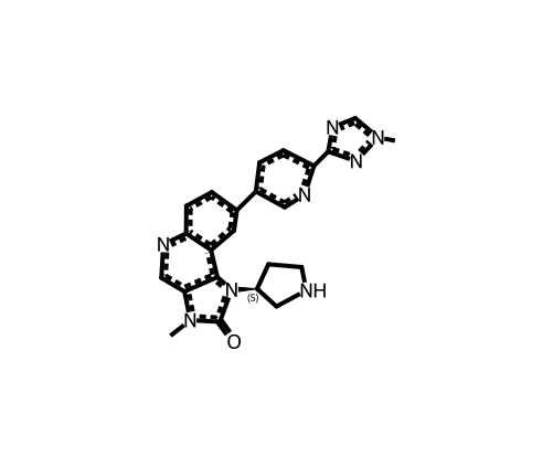 Cn1cnc(-c2ccc(-c3ccc4ncc5c(c4c3)n([C@H]3CCNC3)c(=O)n5C)cn2)n1